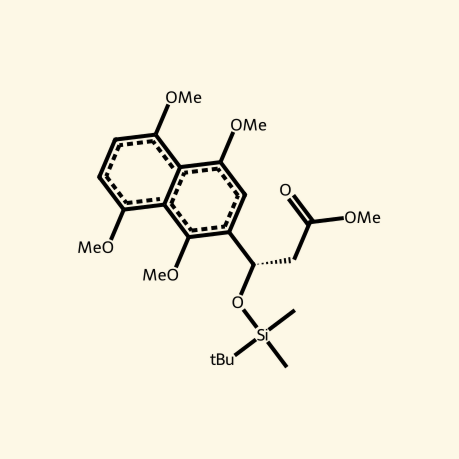 COC(=O)C[C@H](O[Si](C)(C)C(C)(C)C)c1cc(OC)c2c(OC)ccc(OC)c2c1OC